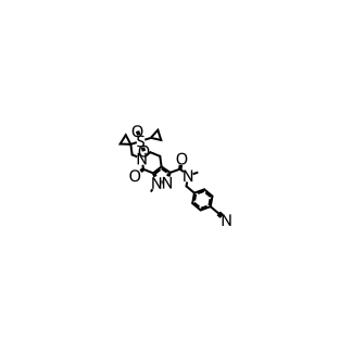 CN(Cc1ccc(C#N)cc1)C(=O)c1nn(C)c2c1CCN(CC1(S(=O)(=O)C3CC3)CC1)C2=O